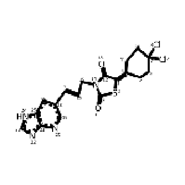 O=C1SC(=C2CCC(Cl)(Cl)CC2)C(=O)N1CC=Cc1cnc2nc[nH]c2c1